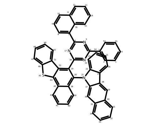 c1ccc(-c2nc(-c3cccc4ccccc34)nc(-c3c(-n4c5ccccc5c5cc6ccccc6cc54)c4ccccc4c4sc5ccccc5c34)n2)cc1